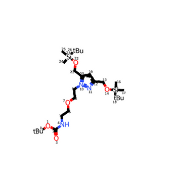 CC(C)(C)OC(=O)NCCOCCn1nc(CO[Si](C)(C)C(C)(C)C)cc1CO[Si](C)(C)C(C)(C)C